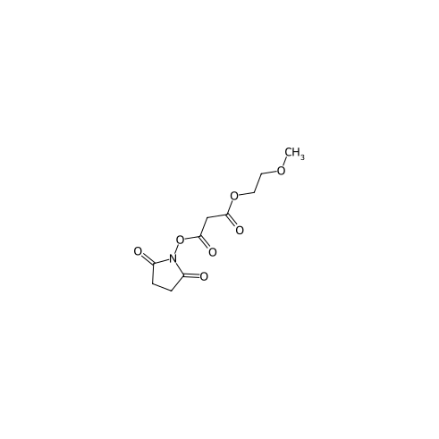 COCCOC(=O)CC(=O)ON1C(=O)CCC1=O